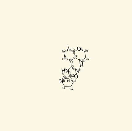 c1cc2c(c(C3=NOC4(CN5CCC4CC5)N3)c1)NCCO2